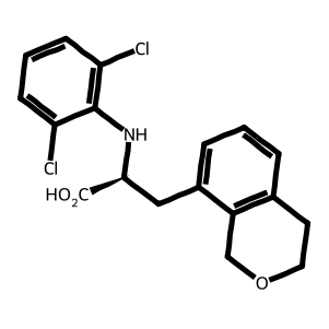 O=C(O)[C@H](Cc1cccc2c1COCC2)Nc1c(Cl)cccc1Cl